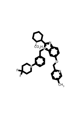 Cc1ccc(COc2ccc3nc(C4CCCC[C@H]4C(=O)O)n(Cc4cccc(N5CCC(F)(F)CC5)c4)c3c2)nc1